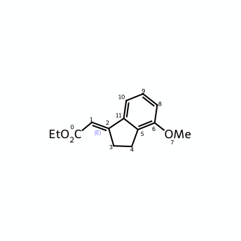 CCOC(=O)/C=C1\CCc2c(OC)cccc21